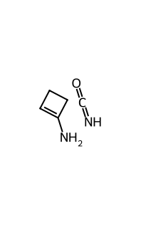 N=C=O.NC1=CCC1